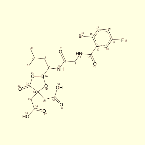 CC(C)CC(NC(=O)CNC(=O)c1cc(F)ccc1Br)B1OC(=O)C(CC(=O)O)(CC(=O)O)O1